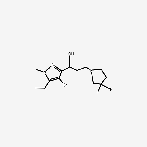 CCc1c(Br)c(C(O)CCN2CCC(F)(F)C2)nn1C